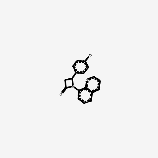 O=C1CC(c2ccc(Cl)cc2)N1c1cccc2cccnc12